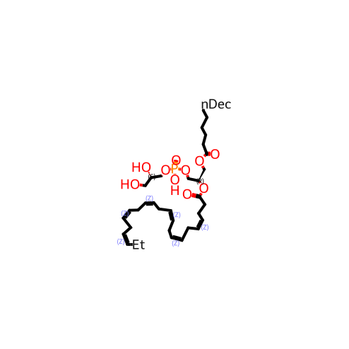 CC/C=C\C/C=C\C/C=C\C/C=C\C/C=C\C/C=C\CCC(=O)O[C@H](COC(=O)CCCCCCCCCCCCCCC)COP(=O)(O)OC[C@@H](O)CO